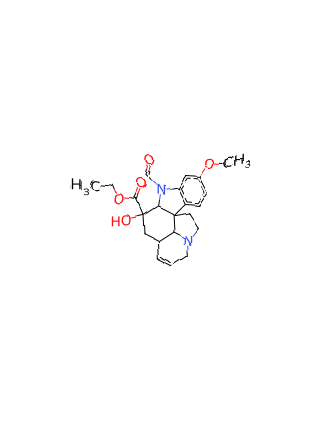 CCOC(=O)C1(O)CC2C=CCN3CCC4(c5ccc(OC)cc5N(C=O)C14)C23